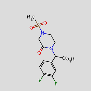 CS(=O)(=O)N1CCN(C(C(=O)O)c2ccc(F)c(F)c2)C(=O)C1